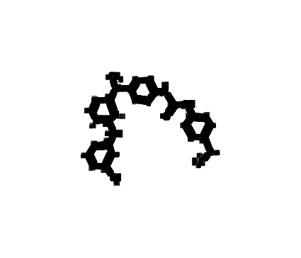 CN(c1ccc(NC(=O)Nc2ccc(OC(F)(F)F)cc2)cc1)c1ccnc(Nc2cccc(C#N)c2)n1